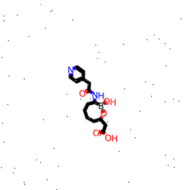 O=C(O)CC1CCCCC(NC(=O)Cc2ccncc2)B(O)O1